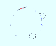 C/C1=N\Cc2ccc(cc2)OCCCCCCCCCOc2ccc(cc2)C/N=C(\C)c2cccc1n2